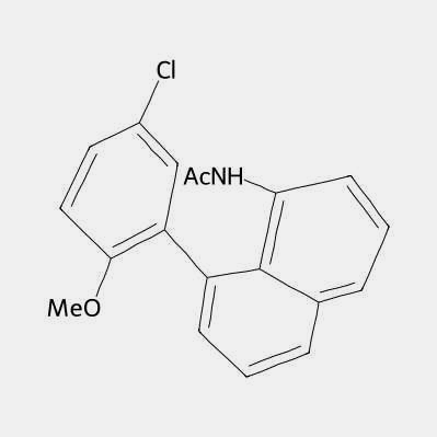 COc1ccc(Cl)cc1-c1cccc2cccc(NC(C)=O)c12